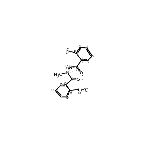 CN(NC(=O)c1ccccc1Cl)C(=O)c1ccccc1C=O